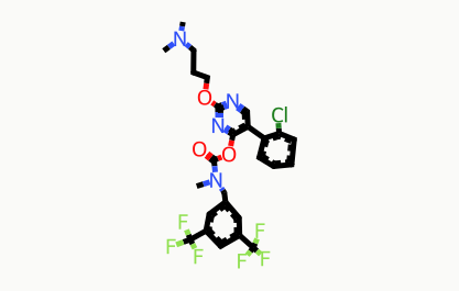 CN(C)CCCOc1ncc(-c2ccccc2Cl)c(OC(=O)N(C)Cc2cc(C(F)(F)F)cc(C(F)(F)F)c2)n1